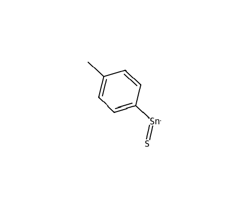 Cc1cc[c]([Sn]=[S])cc1